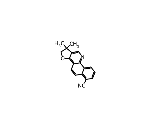 CC1(C)COc2c1cnc1c2ccc2c(C#N)cccc21